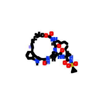 CCCC[C@@H]1NC(=O)OCC(C)(C)CC/C=C/c2cccc3c2cc(n3C)C(=O)N[C@@H]2C[C@@H](C(=O)N[C@]3(C(=O)NS(=O)(=O)C4CC4)C[C@H]3CC)N(C2)C1=O